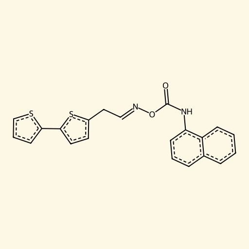 O=C(Nc1cccc2ccccc12)ON=CCc1ccc(-c2cccs2)s1